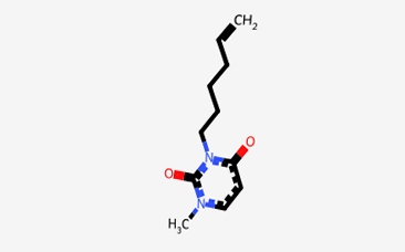 C=CCCCCn1c(=O)ccn(C)c1=O